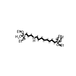 CCO[Si](C)(CCCNCCCCCCCC[Si](OCC)(OCC)OCC)OCC